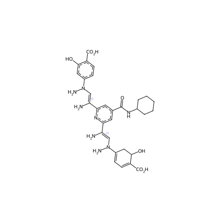 N/C(=C\N(N)C1=CC=C(C(=O)O)C(O)C1)c1cc(C(=O)NC2CCCCC2)cc(/C(N)=C/N(N)c2ccc(C(=O)O)c(O)c2)n1